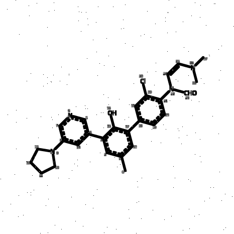 Cc1cc(-c2cncc(N3CCCC3)c2)c(O)c(-c2ccc(N(C=O)/C=C\N(C)C)c(Cl)c2)c1